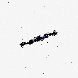 C=CC(=O)OCCCCOc1ccc(/C=C/C(=O)Oc2ccc(OC(=O)/C=C/c3ccc(OCCCCOC(=O)C=C)cc3)c(C)c2)cc1